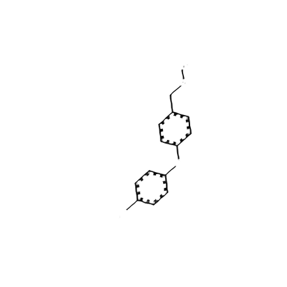 CCCNCc1ccc(Oc2ccc(C(F)(F)F)cc2)cc1